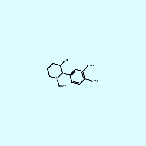 CCCCCCN1CCC[C@@H](O)[C@H]1c1ccc(OC)c(OC)c1